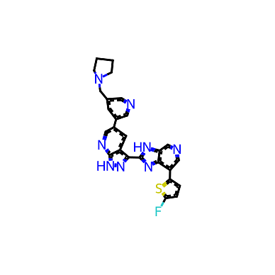 Fc1ccc(-c2cncc3[nH]c(-c4n[nH]c5ncc(-c6cncc(CN7CCCC7)c6)cc45)nc23)s1